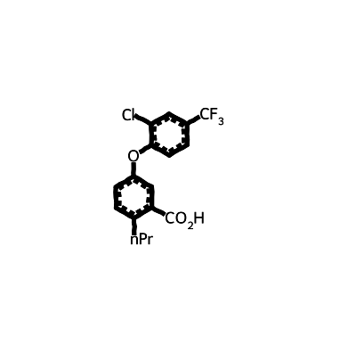 CCCc1ccc(Oc2ccc(C(F)(F)F)cc2Cl)cc1C(=O)O